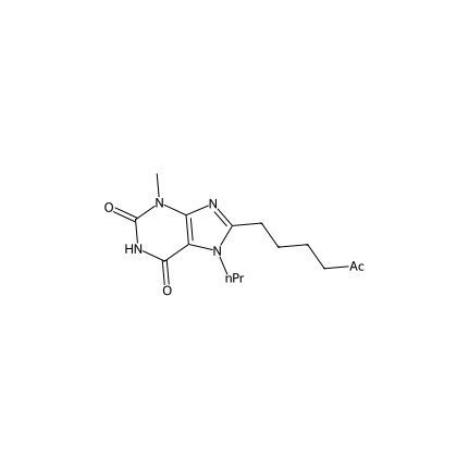 CCCn1c(CCCCC(C)=O)nc2c1c(=O)[nH]c(=O)n2C